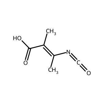 C/C(N=C=O)=C(/C)C(=O)O